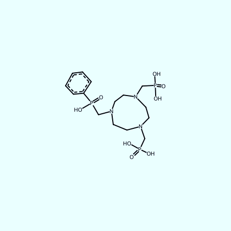 O=P(O)(O)CN1CCN(CP(=O)(O)O)CCN(CP(=O)(O)c2ccccc2)CC1